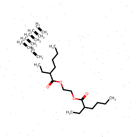 C=C.C=C.C=C.C=C.C=C.C=C.CCCCC(CC)C(=O)OCCOC(=O)C(CC)CCCC